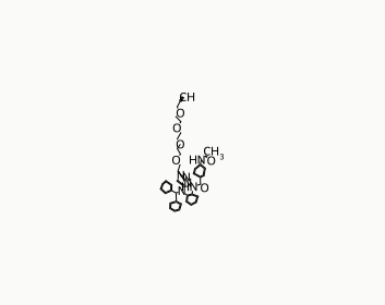 C#CCOCCOCCOCCOCCn1cc(N(c2ccccc2NC(=O)c2ccc(NC(C)=O)cc2)C(c2ccccc2)c2ccccc2)nn1